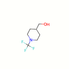 OCC1CCN(C(F)(F)F)CC1